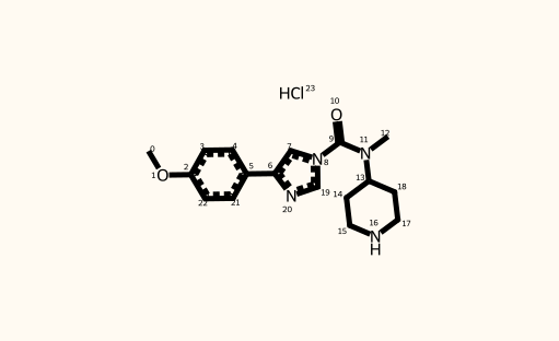 COc1ccc(-c2cn(C(=O)N(C)C3CCNCC3)cn2)cc1.Cl